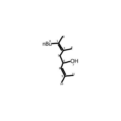 CCCC/C(C)=C(/C)CC(O)C=C(C)C